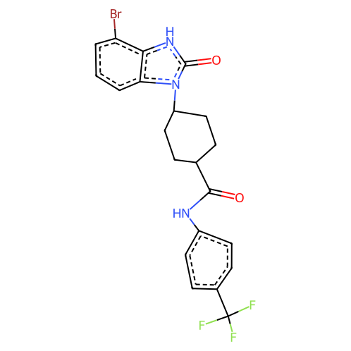 O=C(Nc1ccc(C(F)(F)F)cc1)C1CCC(n2c(=O)[nH]c3c(Br)cccc32)CC1